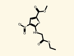 CCOC(=O)CNc1sc(C(=O)OC)cc1[N+](=O)[O-]